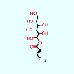 C/C=C/C(=O)OC(O)[C@H](O)[C@@H](O)[C@H](O)[C@H](O)CO